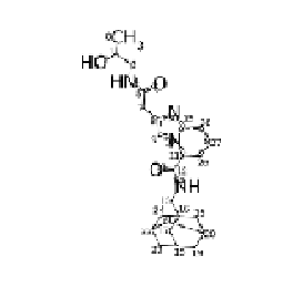 CC(O)CNC(=O)Cc1cn2c(C(=O)NCC34CC5CC(CC(C5)C3)C4)cccc2n1